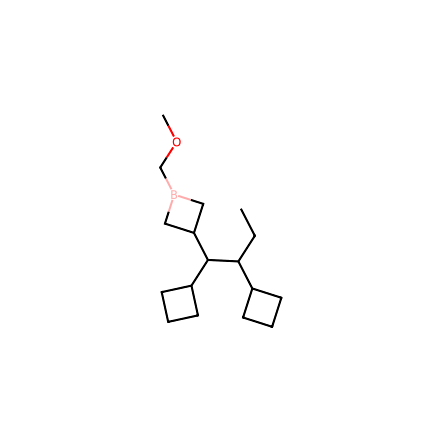 CCC(C1CCC1)C(C1CCC1)C1CB(COC)C1